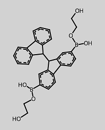 OCCOB(O)c1ccc2c(c1)C(C1c3ccccc3-c3ccccc31)c1cc(B(O)OCCO)ccc1-2